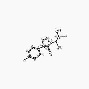 CCC([C@@H](C)O)n1ncn(-c2ccc(C)cc2)c1=O